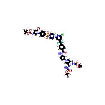 CC(C)(C)OC(=O)NC[C@@H]1CN([C@@H]2CC[C@H](NC(=O)C3CCC(C(F)(F)c4cc(Cl)nc(N5CCN(S(=O)(=O)c6ccc(N7C[C@H](NC(=O)OC(C)(C)C)CC7=O)cc6)CC5)c4)CC3)C2)C[C@@H]1CNC(=O)OC(C)(C)C